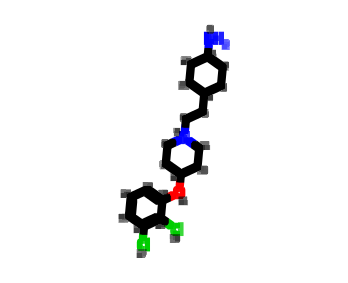 NC1CCC(CCN2CCC(Oc3cccc(Cl)c3Cl)CC2)CC1